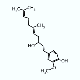 COc1cc(/C=C/C(O)C/C=C(\C)CCC=C(C)C)ccc1O